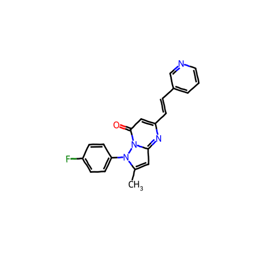 Cc1cc2nc(/C=C/c3cccnc3)cc(=O)n2n1-c1ccc(F)cc1